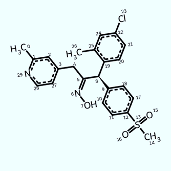 Cc1cc(CC(=NO)[C@H](c2ccc(S(C)(=O)=O)cc2)c2ccc(Cl)cc2C)ccn1